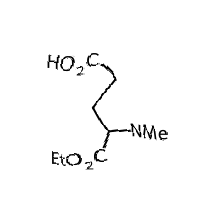 CCOC(=O)C(CCC(=O)O)NC